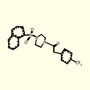 O=C(Cc1ccc(C(F)(F)F)cc1)N1CCN(S(=O)(=O)c2cccc3ccccc23)CC1